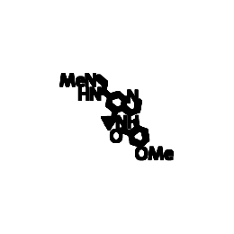 CN/C=C\C(=N)c1cc(C2(NC(=O)c3cc(OC)ccc3C)CC2)c2cccnc2c1